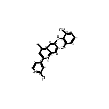 Cc1cc(-c2ccnc(Cl)c2)nc2ccc(Oc3c(Cl)cccc3Cl)cc12